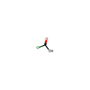 [CH]C(=O)Cl